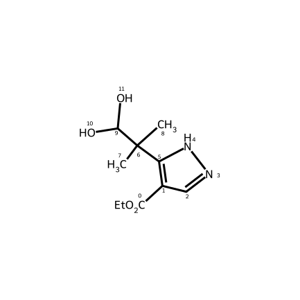 CCOC(=O)c1cn[nH]c1C(C)(C)C(O)O